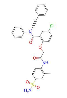 Cc1cc(S(N)(=O)=O)ccc1NC(=O)COc1ccc(Cl)cc1C(=O)N(C#Cc1ccccc1)c1ccccc1